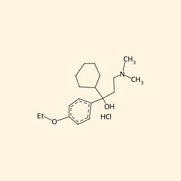 CCOc1ccc(C(O)(CCN(C)C)C2CCCCC2)cc1.Cl